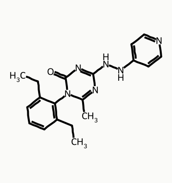 CCc1cccc(CC)c1-n1c(C)nc(NNc2ccncc2)nc1=O